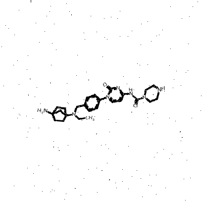 CCN(Cc1ccc(-n2ccc(NC(=O)N3CCNCC3)nc2=O)cc1)C12CCC(N)(CC1)C2